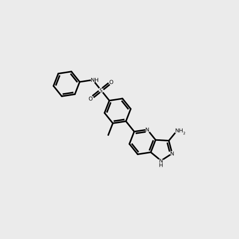 Cc1cc(S(=O)(=O)Nc2ccccc2)ccc1-c1ccc2[nH]nc(N)c2n1